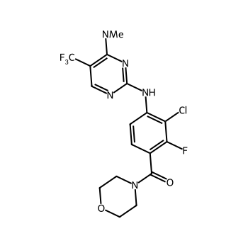 CNc1nc(Nc2ccc(C(=O)N3CCOCC3)c(F)c2Cl)ncc1C(F)(F)F